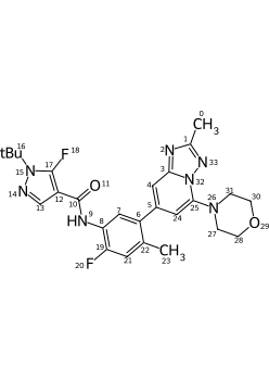 Cc1nc2cc(-c3cc(NC(=O)c4cnn(C(C)(C)C)c4F)c(F)cc3C)cc(N3CCOCC3)n2n1